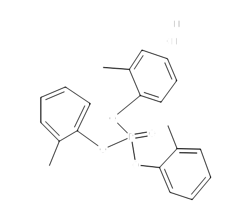 Cc1ccccc1OP(=O)(Oc1ccccc1C)Oc1ccccc1C.[H+].[KH]